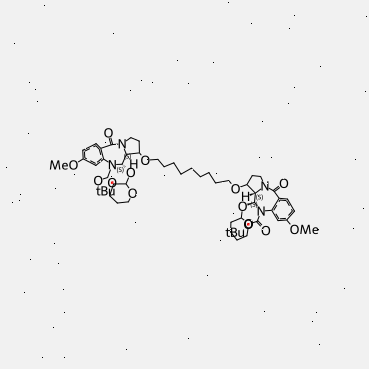 COc1ccc2c(c1)N(C(=O)OC(C)(C)C)[C@@H](OC1CCCCO1)[C@@H]1C(OCCCCCCCCCOC3CCN4C(=O)c5ccc(OC)cc5N(C(=O)OC(C)(C)C)[C@@H](OC5CCCCO5)[C@H]34)CCN1C2=O